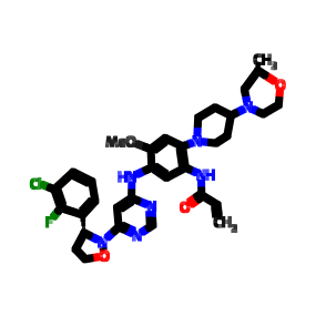 C=CC(=O)Nc1cc(Nc2cc(N3OCC[C@@H]3c3cccc(Cl)c3F)ncn2)c(OC)cc1N1CCC(N2CCO[C@@H](C)C2)CC1